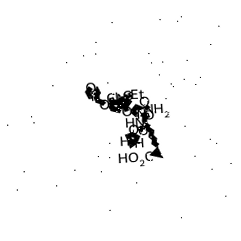 CCOc1cc(OC2C[C@@H](C(N)=O)N(C(=O)[C@H](CCCCCCC[C@@H]3C[C@@H]3C(=O)O)NC(=O)O[C@@H]3C[C@@H]4C[C@@H]4C3)C2)c2ccc(OCCN3CCOCC3)c(Cl)c2n1